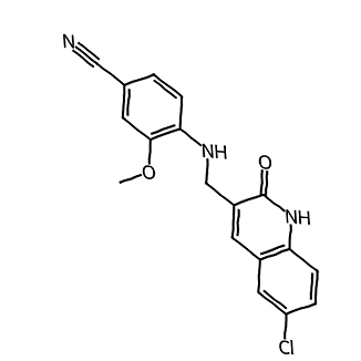 COc1cc(C#N)ccc1NCc1cc2cc(Cl)ccc2[nH]c1=O